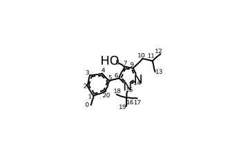 Cc1cccc(-c2c(O)c(CC(C)C)nn2C(C)(C)C)c1